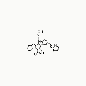 O=C1NCc2c1c1c(c3c2c2cc(CSc4ncccn4)ccc2n3CCCO)Cc2ccccc2-1